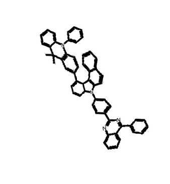 CC1(C)c2ccccc2N(c2ccccc2)c2ccc(C3=CC=CC4C3c3c(ccc5ccccc35)N4c3ccc(-c4nc(-c5ccccc5)c5ccccc5n4)cc3)cc21